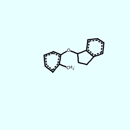 [CH2]c1ccccc1OC1CCc2ccccc21